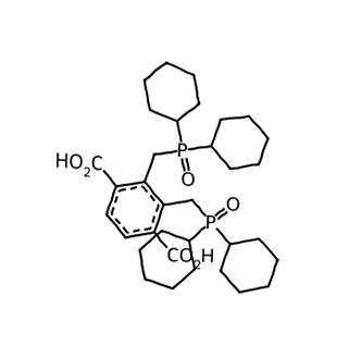 O=C(O)c1ccc(C(=O)O)c(CP(=O)(C2CCCCC2)C2CCCCC2)c1CP(=O)(C1CCCCC1)C1CCCCC1